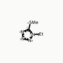 [CH2]Sc1nnnn1CC